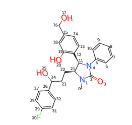 CN1C(=O)N(c2ccccc2)[C@H](c2ccc(CO)cc2O)[C@@H]1CCC(O)c1ccc(F)cc1